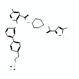 Cc1cc(C(=O)N[C@H]2CC[C@H](NC(=O)c3cc(F)cnc3Oc3cccc(-c4ccc(CCOS(C)(=O)=O)cc4)c3)CC2)nn1C